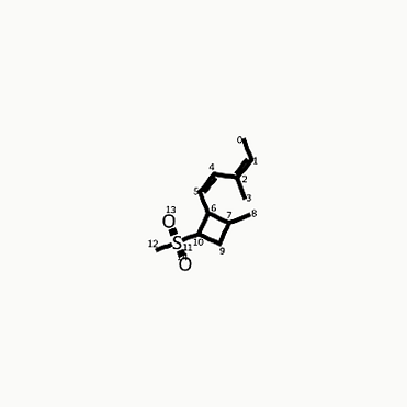 C/C=C(C)\C=C/C1C(C)CC1S(C)(=O)=O